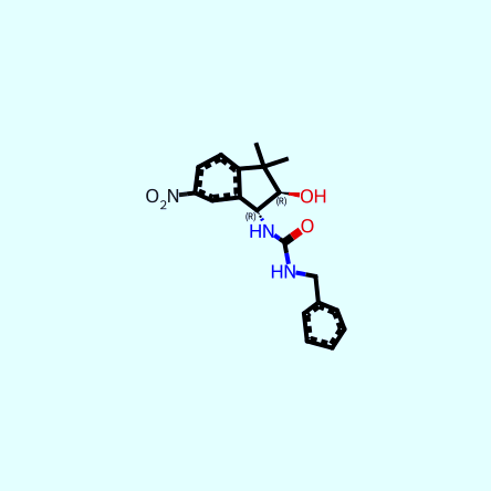 CC1(C)c2ccc([N+](=O)[O-])cc2[C@@H](NC(=O)NCc2ccccc2)[C@@H]1O